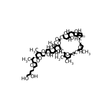 C=C1C2C[C@@H]3O[C@H]4C[C@H]5O[C@]6(CC7O[C@]8(C[C@H](C)C9O[C@H](CC[C@@H](O)CO)CC9O8)C[C@H](C)C7O6)C[C@H]5O[C@H]4[C@H](C)C3OC(=O)CC3CC[C@@H]4OC5C6O[C@@H]7C[C@](CCC8CC(C)[C@H](CCC(C[C@H]1C)O2)O8)(OC6[C@H]4O3)O[C@@H]57